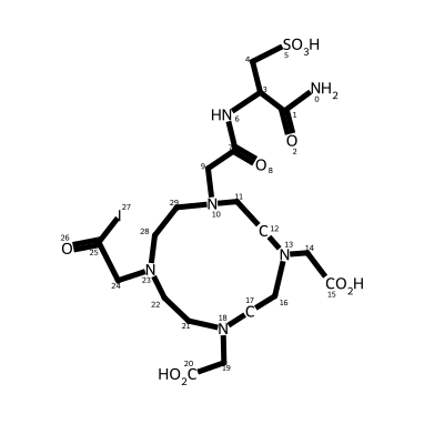 NC(=O)C(CS(=O)(=O)O)NC(=O)CN1CCN(CC(=O)O)CCN(CC(=O)O)CCN(CC(=O)I)CC1